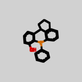 Oc1cccc(C2CCCCC2)c1P(c1ccccc1)c1ccccc1